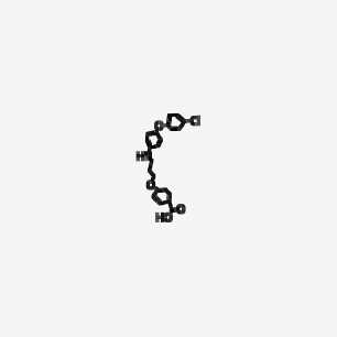 O=C(O)c1ccc(OCCCNc2ccc(Oc3ccc(Cl)cc3)cc2)cc1